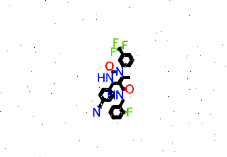 CC1=C(C(=O)NCc2ccccc2F)C(c2ccc(C#N)cc2)NC(=O)N1c1cccc(C(F)(F)F)c1